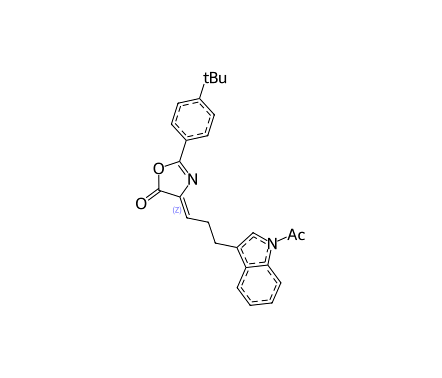 CC(=O)n1cc(CC/C=C2\N=C(c3ccc(C(C)(C)C)cc3)OC2=O)c2ccccc21